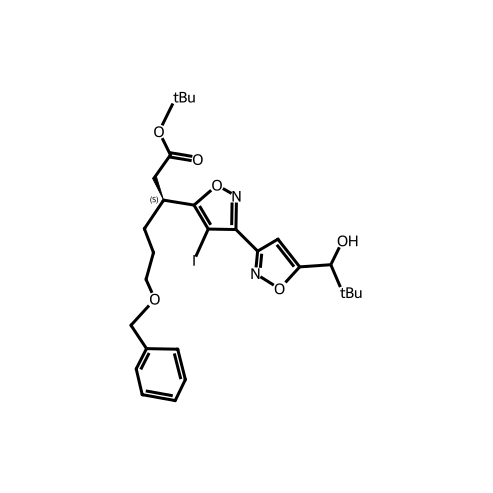 CC(C)(C)OC(=O)C[C@H](CCCOCc1ccccc1)c1onc(-c2cc(C(O)C(C)(C)C)on2)c1I